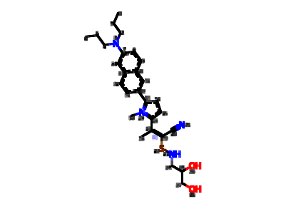 CCCN(CCC)c1ccc2cc(-c3ccc(/C(C)=C(\C#N)SNCC(O)CO)n3C)ccc2c1